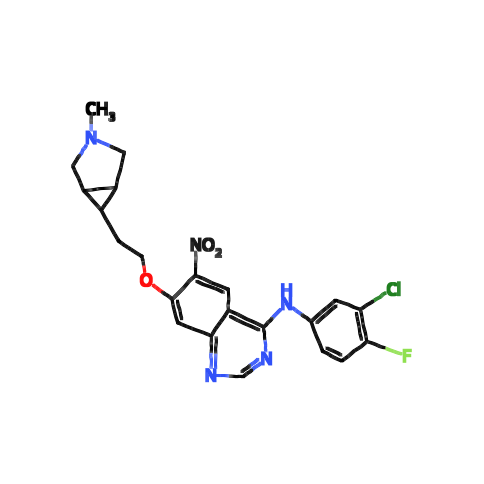 CN1CC2C(CCOc3cc4ncnc(Nc5ccc(F)c(Cl)c5)c4cc3[N+](=O)[O-])C2C1